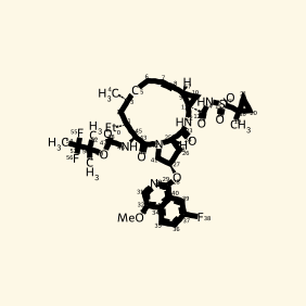 CC[C@@H]1C[C@H](C)CC/C=C\[C@@H]2C[C@@]2(C(=O)NS(=O)(=O)C2(C)CC2)NC(=O)[C@@H]2C[C@@H](Oc3ncc(OC)c4ccc(F)cc34)CN2C(=O)[C@H]1NC(=O)OC(C)(C)C(C)(F)F